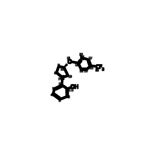 Oc1ccccc1N1CC[C@H](Oc2ccc(C(F)(F)F)cn2)C1